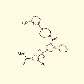 COC(=O)c1cc(C)c(S(=O)(=O)N2C[C@@H](C(=O)N3CCN(c4cccc(C(F)(F)F)c4)CC3)[C@H](c3ccccc3)C2)s1